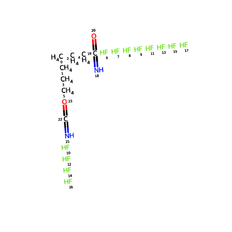 C.C.C.C.C.C.F.F.F.F.F.F.F.F.F.F.F.F.N=C=O.N=C=O